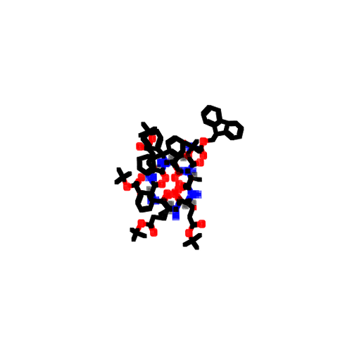 C[C@H](NC(=O)CNC(=O)[C@H](CC(=O)NC(c1ccccc1)(c1ccccc1)c1ccccc1)NC(=O)OCC1c2ccccc2-c2ccccc21)C(=O)N[C@@H](CCC(=O)OC(C)(C)C)C(=O)N[C@@H](CC(=O)OC(C)(C)C)C(=O)N[C@@H](CCC(=O)OC(C)(C)C)C(=O)N[C@@H](COC(C)(C)C)C(=O)N[C@@H](C)C(=O)N[C@@H](CCC(=O)OC(C)(C)C)C(=O)N[C@@H](C)C(=O)c1ccccc1